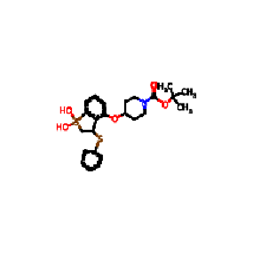 CC(C)(C)OC(=O)N1CCC(Oc2cccc3c2C(Sc2ccccc2)CS3(O)O)CC1